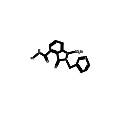 CCNC(=O)c1cccc2c1c(=O)n(Cc1cccnc1)n2C(=O)OCC